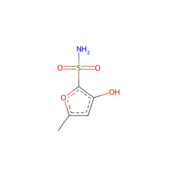 Cc1cc(O)c(S(N)(=O)=O)o1